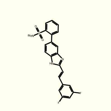 CNS(=O)(=O)c1ccccc1-c1ccc2[nH]c(C=Cc3cc(F)cc(F)c3)nc2c1